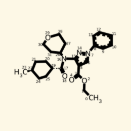 CCOC(=O)c1cn(-c2ccccc2)nc1N(C(=O)[C@H]1CC[C@H](C)CC1)C1CCOCC1